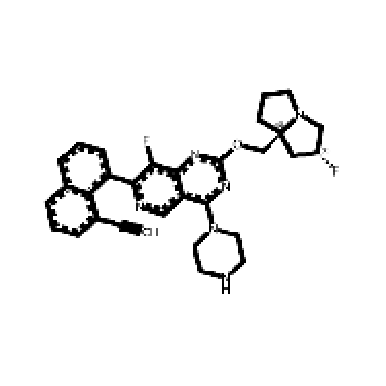 C#Cc1cccc2cccc(-c3ncc4c(N5CCNCC5)nc(OC[C@@]56CCCN5C[C@H](F)C6)nc4c3F)c12